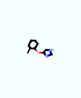 Cc1ccccc1Oc1c[nH][c]n1